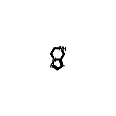 [c]1cnn2c1CNCC2